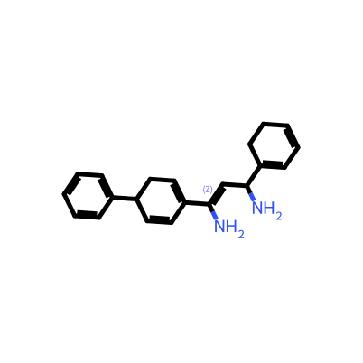 N/C(=C\C(N)C1=CC=CCC1)C1=CCC(c2ccccc2)C=C1